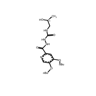 CCCCOc1cnc(C(=O)NNC(=O)NC[C@H](C)O)cc1OCCCC